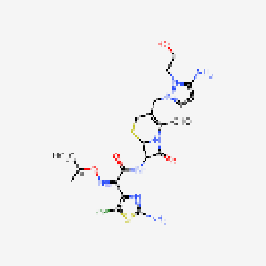 C[C@H](O/N=C(\C(=O)NC1C(=O)N2C(C=O)=C(C[n+]3ccc(N)n3CCO)CSC12)c1nc(N)sc1Cl)C(=O)O